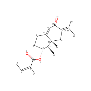 C/C=C(/C)C(=O)O[C@@H]1CCC2=CC(=O)C(=C(C)C)C[C@]2(C)[C@H]1C